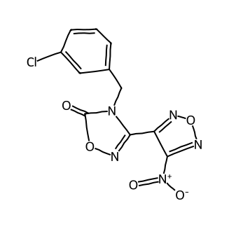 O=c1onc(-c2nonc2[N+](=O)[O-])n1Cc1cccc(Cl)c1